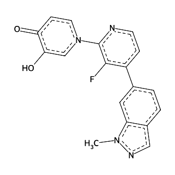 Cn1ncc2ccc(-c3ccnc(-n4ccc(=O)c(O)c4)c3F)cc21